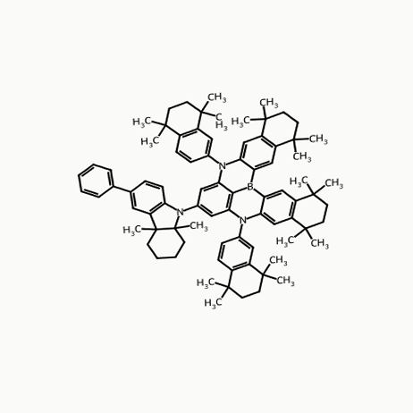 CC1(C)CCC(C)(C)c2cc(N3c4cc5c(cc4B4c6cc7c(cc6N(c6ccc8c(c6)C(C)(C)CCC8(C)C)c6cc(N8c9ccc(-c%10ccccc%10)cc9C9(C)CCCCC89C)cc3c64)C(C)(C)CCC7(C)C)C(C)(C)CCC5(C)C)ccc21